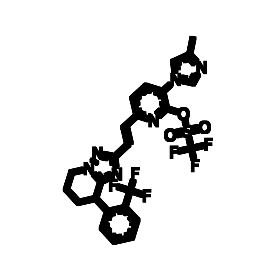 Cc1cn(-c2ccc(/C=C/c3nc4n(n3)CCCC4c3ccccc3C(F)(F)F)nc2OS(=O)(=O)C(F)(F)F)cn1